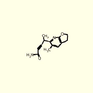 Cc1cc2c(nc1C(C)C#CC(N)=O)OCC2